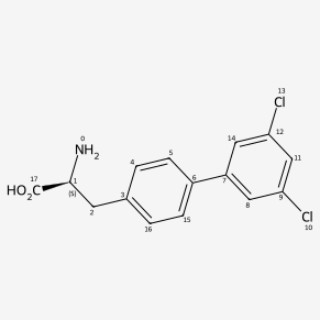 N[C@@H](Cc1ccc(-c2cc(Cl)cc(Cl)c2)cc1)C(=O)O